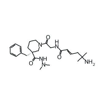 CN(C)NC(=O)[C@@]1(Cc2ccccc2)CCCN(C(=O)CNC(=O)/C=C/CC(C)(C)N)C1